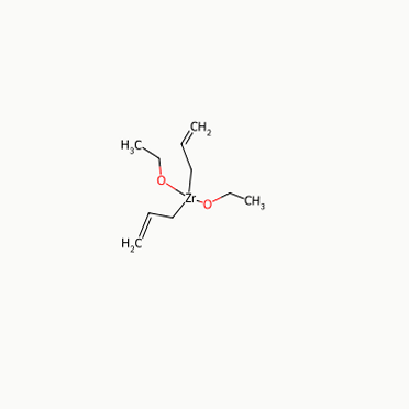 C=C[CH2][Zr]([CH2]C=C)([O]CC)[O]CC